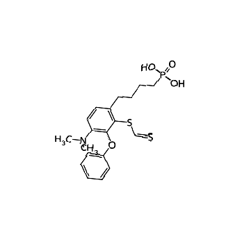 CN(C)c1ccc(CCCCP(=O)(O)O)c(SC=S)c1Oc1ccccc1